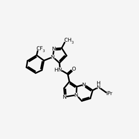 Cc1cc(NC(=O)c2cnn3ccc(NC(C)C)nc23)n(-c2ccccc2C(F)(F)F)n1